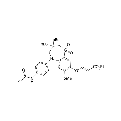 CCCCC1(CCCC)CN(c2ccc(NC(=O)C(C)C)cc2)c2cc(SC)c(O/C=C/C(=O)OCC)cc2S(=O)(=O)C1